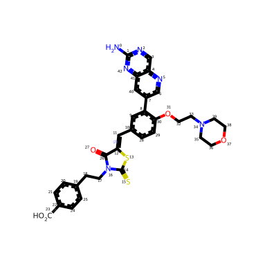 Nc1ncc2ncc(-c3cc(/C=C4\SC(=S)N(CCc5ccc(C(=O)O)cc5)C4=O)ccc3OCCN3CCOCC3)cc2n1